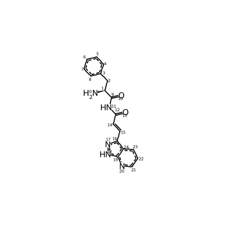 N[C@@H](Cc1ccccc1)C(=O)NC(=O)/C=C/c1n[nH]c2ncccc12